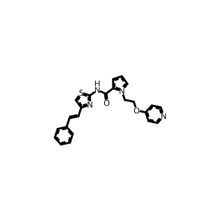 O=C(Nc1nc(/C=C/c2ccccc2)cs1)c1cccn1CCOc1ccncc1